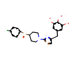 COc1cc(Cc2csc(N3CCC(S(=O)(=O)c4ccc(Br)cc4)CC3)n2)cc(OC)c1OC